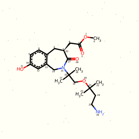 COC(=O)C[C@@H]1Cc2ccc(O)cc2CN(C(C)(C)COC(C)(C)CCN)C1=O